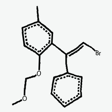 COCOc1ccc(C)cc1C(=CBr)c1ccccc1